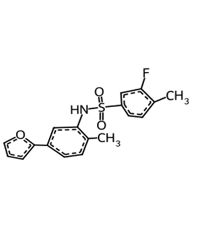 Cc1ccc(S(=O)(=O)Nc2cc(-c3ccco3)ccc2C)cc1F